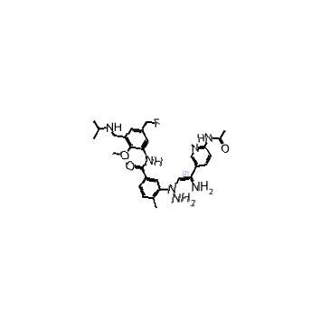 COc1c(CNC(C)C)cc(CF)cc1NC(=O)c1ccc(C)c(N(N)/C=C(\N)c2ccc(NC(C)=O)nc2)c1